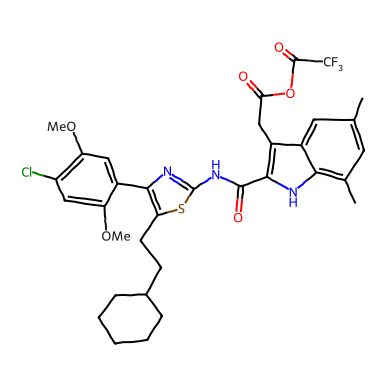 COc1cc(-c2nc(NC(=O)c3[nH]c4c(C)cc(C)cc4c3CC(=O)OC(=O)C(F)(F)F)sc2CCC2CCCCC2)c(OC)cc1Cl